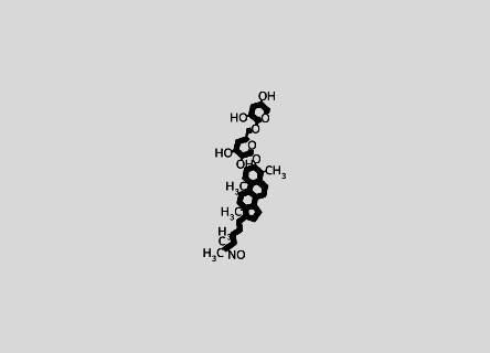 C[C@@H]1C2=CCC3C4CCC(CCCCC(C)(C)N=O)[C@@]4(C)CC[C@@]3(C)C2CC[C@@H]1O[C@@H]1O[C@H](CO[C@@H]2OC[C@@H](O)C[C@H]2O)C[C@H](O)[C@H]1O